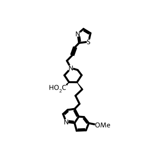 COc1ccc2nccc(CCC[C@@H]3CCN(CC#Cc4nccs4)C[C@@H]3C(=O)O)c2c1